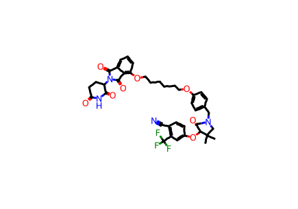 CC1(C)CN(Cc2ccc(OCCCCCCOc3cccc4c3C(=O)N(C3CCC(=O)NC3=O)C4=O)cc2)C(=O)C1Oc1ccc(C#N)c(C(F)(F)F)c1